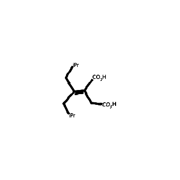 CC(C)CC(CC(C)C)=C(CC(=O)O)C(=O)O